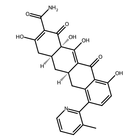 Cc1cccnc1-c1ccc(O)c2c1C[C@H]1C[C@H]3CC(O)=C(C(N)=O)C(=O)[C@@]3(O)C(O)=C1C2=O